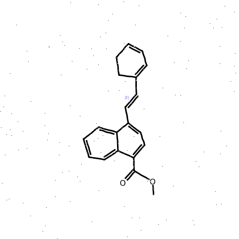 COC(=O)c1ccc(/C=C/C2=CC=CCC2)c2ccccc12